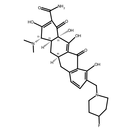 CN(C)[C@@H]1C(O)=C(C(N)=O)C(=O)[C@@]2(O)C(O)=C3C(=O)c4c(ccc(CN5CCC(F)CC5)c4O)C[C@H]3C[C@@H]12